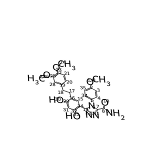 COc1ccc(-n2c(C(N)=O)nnc2-c2cc(CCc3ccc(OC)c(OC)c3)c(O)cc2O)cc1